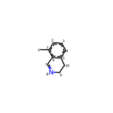 Cc1cccc2c1C=NCC2